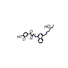 CCC(O)C/C=C/c1ccc(/C=N/NC(=O)c2ccc(O)c(Cl)c2)c2ccccc12